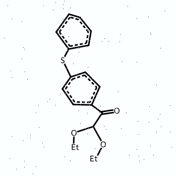 CCOC(OCC)C(=O)c1ccc(Sc2ccccc2)cc1